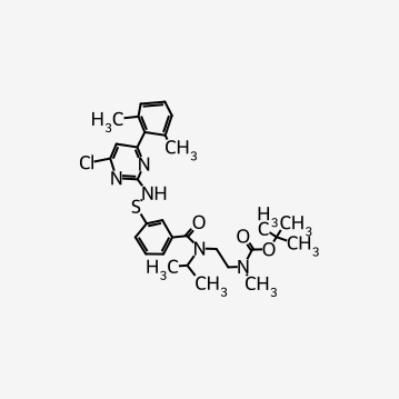 Cc1cccc(C)c1-c1cc(Cl)nc(NSc2cccc(C(=O)N(CCN(C)C(=O)OC(C)(C)C)C(C)C)c2)n1